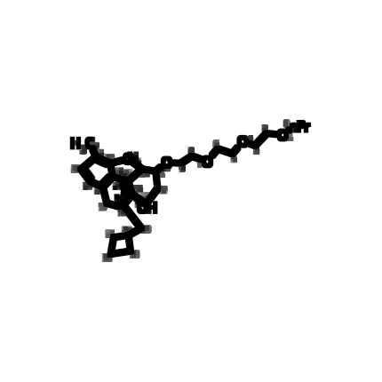 CCCOCCOCCOCCOC1CC[C@@]2(O)C3Cc4ccc(C)c5c4[C@@]2(CCN3CC2CCC2)[C@H]1O5